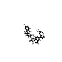 CN1CCn2ncc(-c3ccc4c(c3)[C@H](F)C[C@]43NC(=O)N(CC(=O)N(Cc4ccc(F)cc4)C4(C(F)(F)F)COC4)C3=O)c2C1